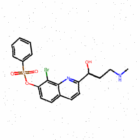 CNCCC(O)c1ccc2ccc(OS(=O)(=O)c3ccccc3)c(Br)c2n1